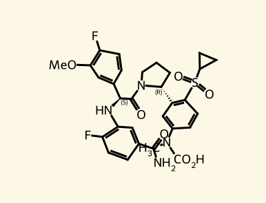 COc1cc([C@H](Nc2cc(C(N)=O)ccc2F)C(=O)N2CCC[C@@H]2c2cc(N(C)C(=O)O)ccc2S(=O)(=O)C2CC2)ccc1F